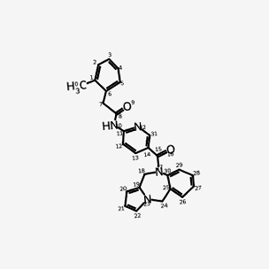 Cc1ccccc1CC(=O)Nc1ccc(C(=O)N2Cc3cccn3Cc3ccccc32)cn1